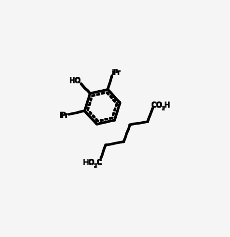 CC(C)c1cccc(C(C)C)c1O.O=C(O)CCCCC(=O)O